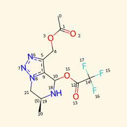 CC(=O)OCc1nnn2c1C(OC(=O)C(F)(F)F)N[C@@H](C)C2